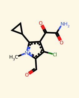 Cn1c(C=O)c(Cl)c(C(=O)C(N)=O)c1C1CC1